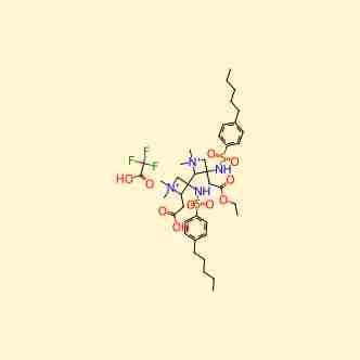 CCCCCc1ccc(S(=O)(=O)NC2(CC(=O)OCC)C[N+](C)(C)C2C2(NS(=O)(=O)c3ccc(CCCCC)cc3)C[N+](C)(C)C2CC(=O)O)cc1.O=C(O)C(F)(F)F